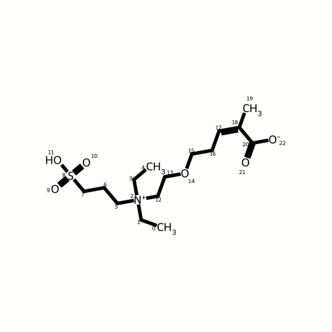 CC[N+](CC)(CCCS(=O)(=O)O)CCOCCC=C(C)C(=O)[O-]